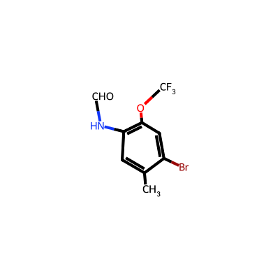 Cc1cc(NC=O)c(OC(F)(F)F)cc1Br